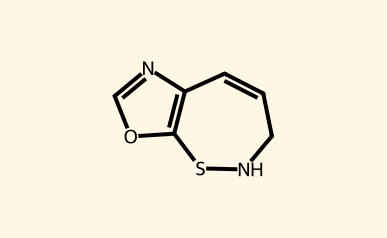 C1=Cc2ncoc2SNC1